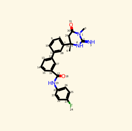 CN1C(=N)N[C@](C)(c2cccc(-c3cccc(C(=O)Nc4ccc(F)cc4)c3)c2)CC1=O